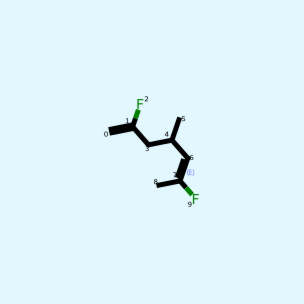 C=C(F)CC(C)/C=C(\C)F